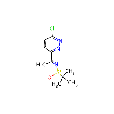 CC(=N[S+]([O-])C(C)(C)C)c1ccc(Cl)nn1